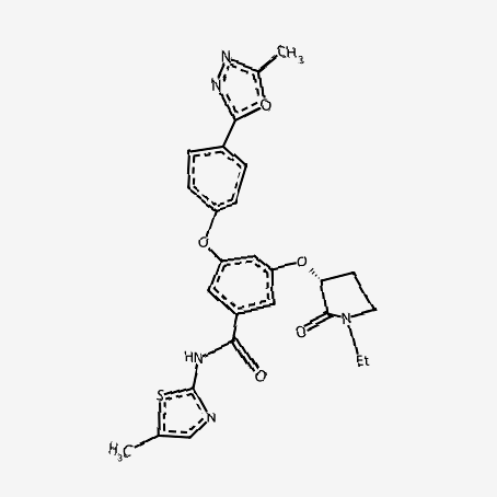 CCN1CC[C@@H](Oc2cc(Oc3ccc(-c4nnc(C)o4)cc3)cc(C(=O)Nc3ncc(C)s3)c2)C1=O